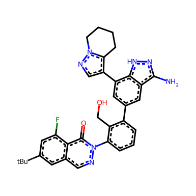 CC(C)(C)c1cc(F)c2c(=O)n(-c3cccc(-c4cc(-c5cnn6c5CCCC6)c5[nH]nc(N)c5c4)c3CO)ncc2c1